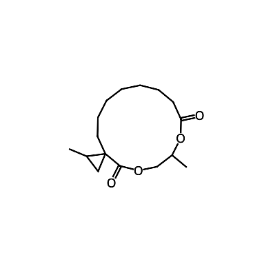 CC1COC(=O)C2(CCCCCCCC(=O)O1)CC2C